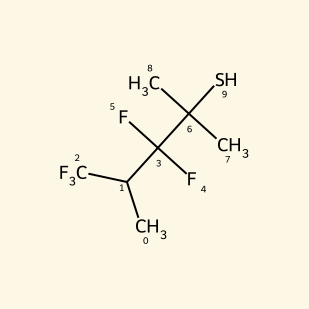 CC(C(F)(F)F)C(F)(F)C(C)(C)S